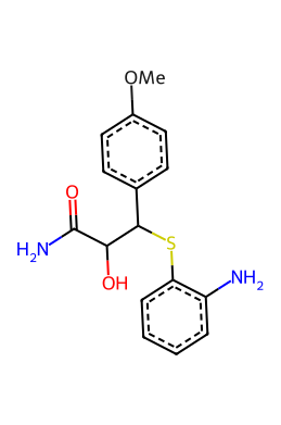 COc1ccc(C(Sc2ccccc2N)C(O)C(N)=O)cc1